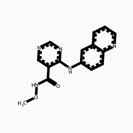 CONC(=O)c1cncnc1Nc1ccc2ncccc2c1